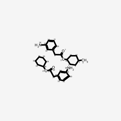 CC1CCC(OC(=O)Cc2cccc(N)c2)CC1.Nc1cccc(CC(=O)OC2CCCCC2)c1